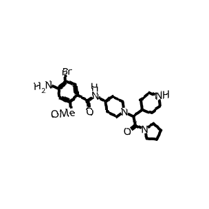 COc1cc(N)c(Br)cc1C(=O)NC1CCN(C(C(=O)N2CCCC2)C2CCNCC2)CC1